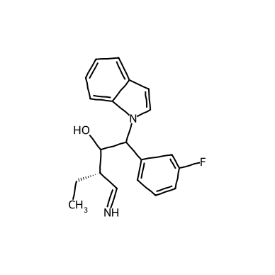 CC[C@@H](C=N)C(O)C(c1cccc(F)c1)n1ccc2ccccc21